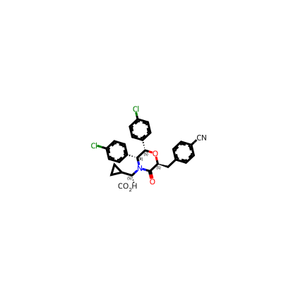 N#Cc1ccc(C[C@@H]2O[C@@H](c3ccc(Cl)cc3)[C@@H](c3ccc(Cl)cc3)N([C@H](C(=O)O)C3CC3)C2=O)cc1